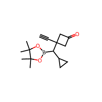 C#CC1(C(B2OC(C)(C)C(C)(C)O2)C2CC2)CC(=O)C1